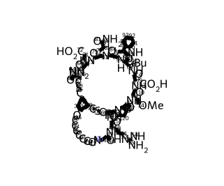 CC[C@H](C)[C@@H]1NC(=O)[C@H](CC(=O)O)NC(=O)[C@H](CCOC)NC(=O)[C@@H]2CCCN2C(=O)[C@@H]2CSCc3cc(cc(c3)OCCCCCCO/N=C/C(=O)N[C@@H](CCCNC(=N)N)C(=O)N2)CSC[C@@H](C(N)=O)NC(=O)[C@H](CCC(=O)O)NC(=O)[C@H](CCC(N)=O)NC(=O)[C@H](Cc2c[nH]c3ccccc23)NC1=O